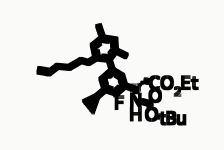 C=CCCCCc1cc(C)cc(C)c1-c1cc(C2CC2)c(F)c([C@H](CC(=O)OCC)NC(=O)OC(C)(C)C)c1